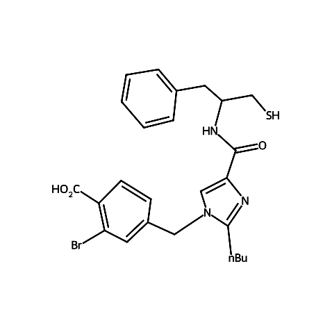 CCCCc1nc(C(=O)NC(CS)Cc2ccccc2)cn1Cc1ccc(C(=O)O)c(Br)c1